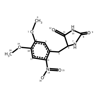 COc1cc(CC2NC(=O)NC2=O)c([N+](=O)[O-])cc1OC